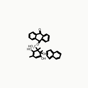 CC1=C(O)C(C)(C(=O)O)C(C)(O)C(O)=C1.O=C1c2ccccc2C(=O)c2ccccc21.c1ccc2ccccc2c1